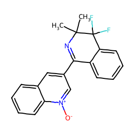 CC1(C)N=C(c2cc3ccccc3[n+]([O-])c2)c2ccccc2C1(F)F